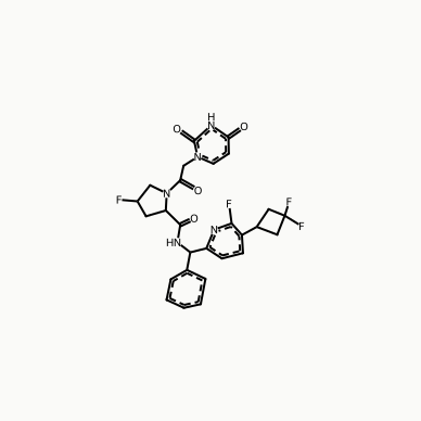 O=C(NC(c1ccccc1)c1ccc(C2CC(F)(F)C2)c(F)n1)C1CC(F)CN1C(=O)Cn1ccc(=O)[nH]c1=O